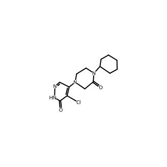 O=C1CN(c2cn[nH]c(=O)c2Cl)CCN1C1CCCCC1